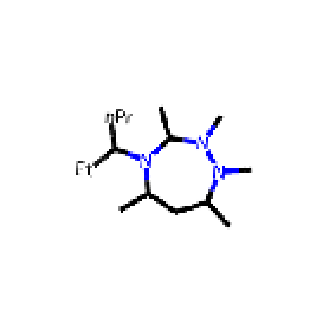 CCCC(CC)N1C(C)CC(C)N(C)N(C)C1C